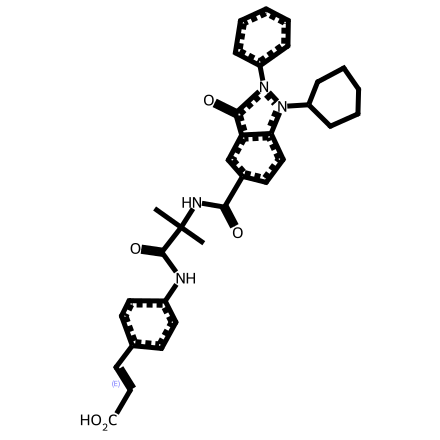 CC(C)(NC(=O)c1ccc2c(c1)c(=O)n(-c1ccccc1)n2C1CCCCC1)C(=O)Nc1ccc(/C=C/C(=O)O)cc1